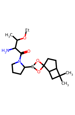 CCOC(C)C(N)C(=O)N1CCCC1B1OC2(CCC3C2CC3(C)C)O1